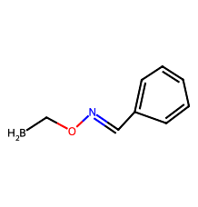 BCON=Cc1ccccc1